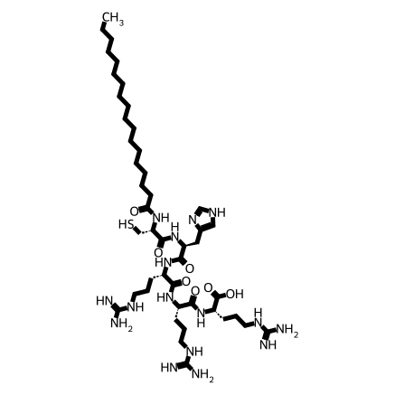 CCCCCCCCCCCCCCCCCC(=O)N[C@@H](CS)C(=O)N[C@@H](Cc1c[nH]cn1)C(=O)N[C@@H](CCCNC(=N)N)C(=O)N[C@@H](CCCNC(=N)N)C(=O)N[C@@H](CCCNC(=N)N)C(=O)O